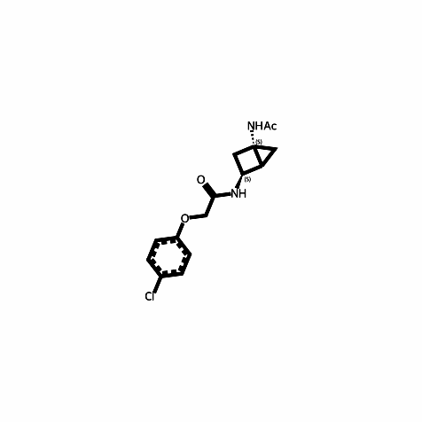 CC(=O)N[C@]12CC1[C@@H](NC(=O)COc1ccc(Cl)cc1)C2